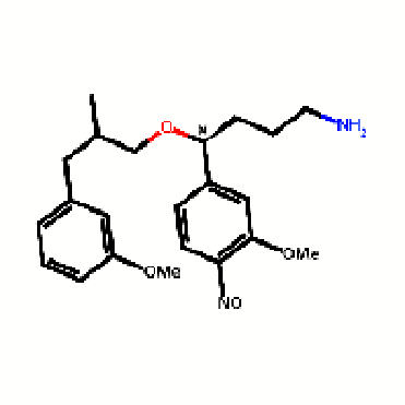 COc1cccc(CC(C)CO[C@@H](CCCN)c2ccc(N=O)c(OC)c2)c1